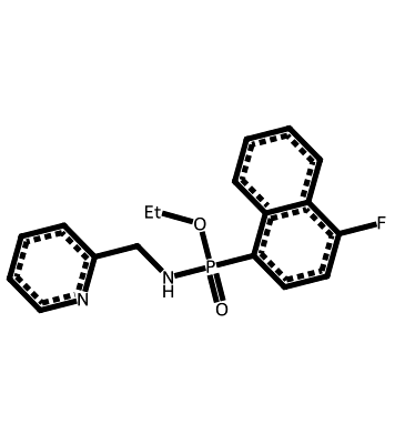 CCOP(=O)(NCc1ccccn1)c1ccc(F)c2ccccc12